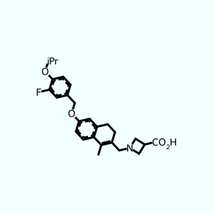 CC1=C(CN2CC(C(=O)O)C2)CCc2cc(OCc3ccc(OC(C)C)c(F)c3)ccc21